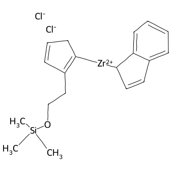 C[Si](C)(C)OCCC1=[C]([Zr+2][CH]2C=Cc3ccccc32)CC=C1.[Cl-].[Cl-]